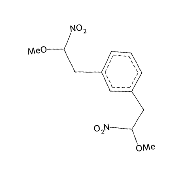 COC(Cc1cccc(CC(OC)[N+](=O)[O-])c1)[N+](=O)[O-]